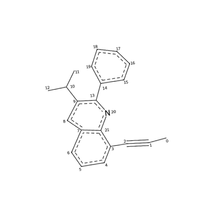 CC#Cc1cccc2cc(C(C)C)c(-c3ccccc3)nc12